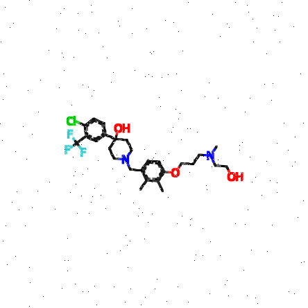 Cc1c(CN2CCC(O)(c3ccc(Cl)c(C(F)(F)F)c3)CC2)ccc(OCCCN(C)CCO)c1C